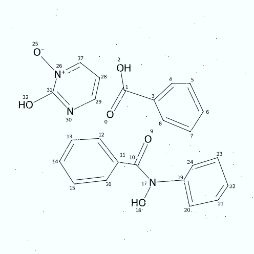 O=C(O)c1ccccc1.O=C(c1ccccc1)N(O)c1ccccc1.[O-][n+]1cccnc1O